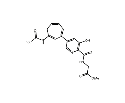 CCCCC(=O)NC1=CC(c2cnc(C(=O)NCC(=O)OC)c(O)c2)=CC=CC1